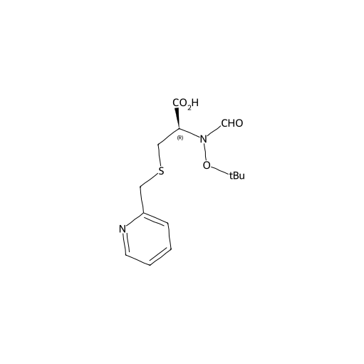 CC(C)(C)ON(C=O)[C@@H](CSCc1ccccn1)C(=O)O